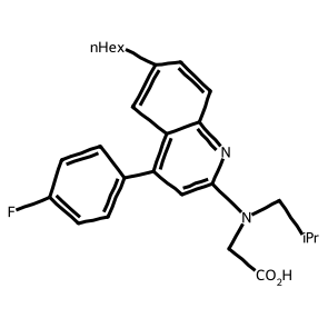 CCCCCCc1ccc2nc(N(CC(=O)O)CC(C)C)cc(-c3ccc(F)cc3)c2c1